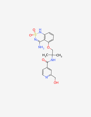 CC(C)(COc1cccc2c1C(N)=NS(=O)(=O)N2)NC(=O)c1ccnc(CO)c1